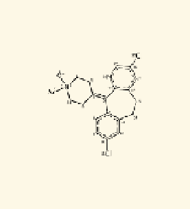 CC(=O)[N+]1([O-])CCC(=C2c3ccc(Cl)cc3CCc3cc(Cl)cnc32)CC1